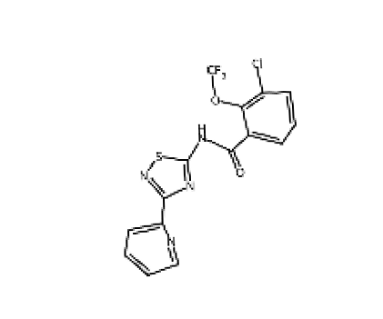 O=C(Nc1nc(-c2ccccn2)ns1)c1cccc(Cl)c1OC(F)(F)F